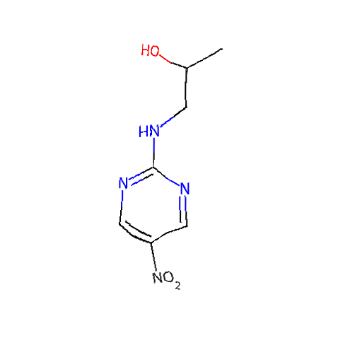 CC(O)CNc1ncc([N+](=O)[O-])cn1